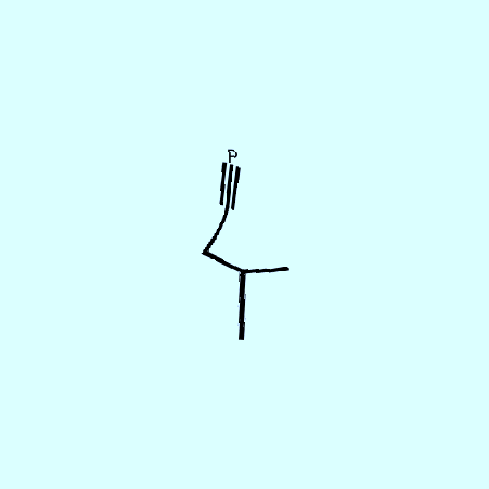 CC(C)CC#P